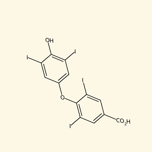 O=C(O)c1cc(I)c(Oc2cc(I)c(O)c(I)c2)c(I)c1